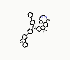 C=C1/C=C\C=C/COc2c1ccc1c2-c2cc(N(c3ccc(-c4ccccc4)cc3)c3ccc(-c4ccc5sc6ccccc6c5c4)cc3)ccc2C1(C)C